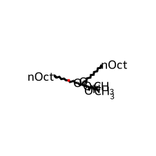 CCCCCCCCC=CCCCCCCCCOCC(COC(=O)CCN(C)C)OCCCCCCCCC=CCCCCCCCC